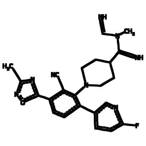 Cc1noc(-c2ccc(-c3ccc(F)nc3)c(N3CCC(C(=N)N(C)C=N)CC3)c2C#N)n1